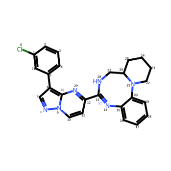 Clc1cccc(-c2cnn3ccc(/C4=N/c5ccccc5N5CCCCC5CN4)nc23)c1